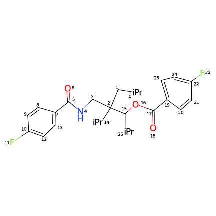 CC(C)CC(CNC(=O)c1ccc(F)cc1)(C(C)C)C(OC(=O)c1ccc(F)cc1)C(C)C